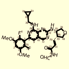 COc1cc(OC)c(F)c(-c2cc3cnc(N[C@@H]4COC[C@@H]4C=CC(=O)NC=O)nc3c(NCC3CC3)n2)c1F